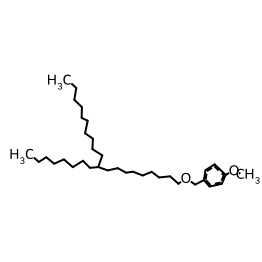 CCCCCCCCCCC(CCCCCCCC)CCCCCCCCCOCc1ccc(OC)cc1